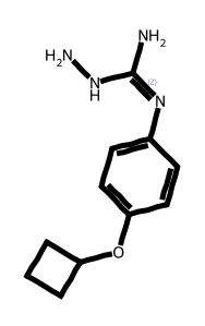 NN/C(N)=N\c1ccc(OC2CCC2)cc1